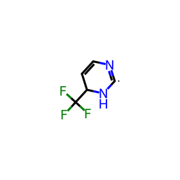 FC(F)(F)C1C=CN=[C]N1